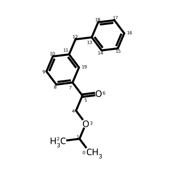 CC(C)OCC(=O)c1cccc(Cc2ccccc2)c1